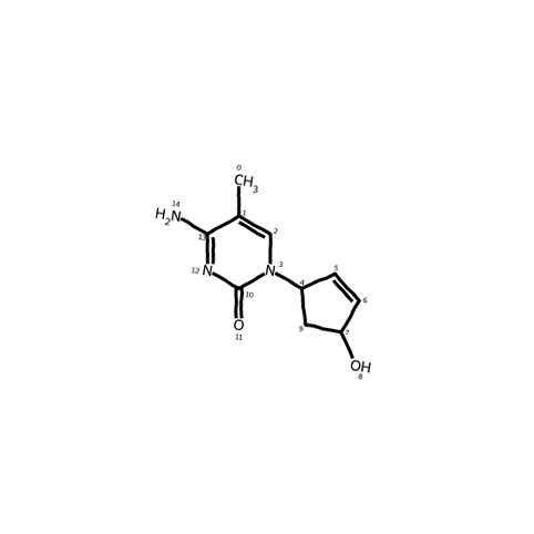 Cc1cn(C2C=CC(O)C2)c(=O)nc1N